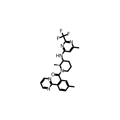 Cc1ccc(-c2ncccn2)c(C(=O)N2CCCC(Nc3cc(C)nc(C(F)(F)F)n3)[C@@H]2C)c1